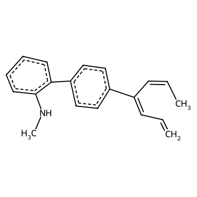 C=C/C=C(\C=C/C)c1ccc(-c2ccccc2NC)cc1